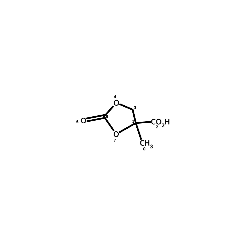 CC1(C(=O)O)COC(=O)O1